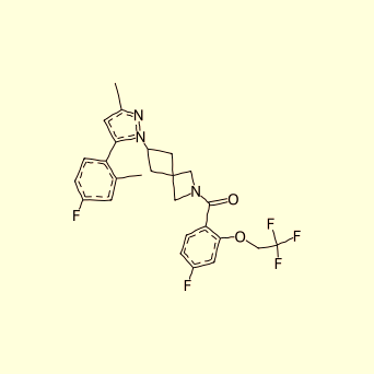 Cc1cc(-c2ccc(F)cc2C)n(C2CC3(C2)CN(C(=O)c2ccc(F)cc2OCC(F)(F)F)C3)n1